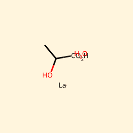 CC(O)C(=O)O.O.[La]